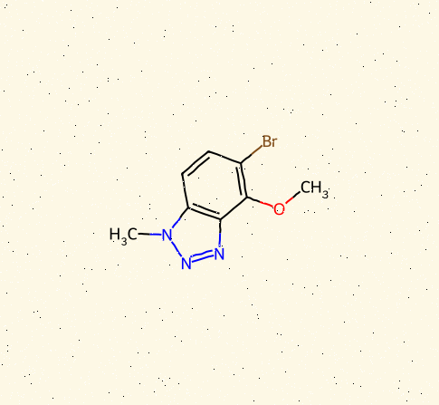 COc1c(Br)ccc2c1nnn2C